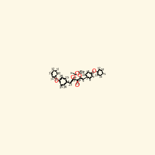 CCOC1(C)O/C(=C\c2ccc(Oc3ccccc3)cc2)C(=O)/C(=C/c2ccc(Oc3ccccc3)cc2)O1